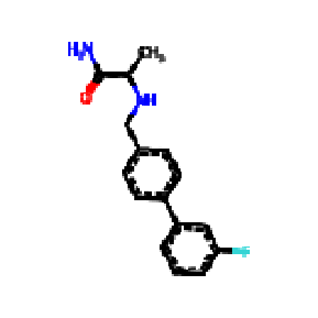 CC(NCc1ccc(-c2cccc(F)c2)cc1)C(N)=O